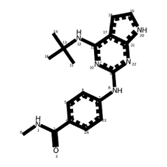 CNC(=O)c1ccc(Nc2nc(NC(C)(C)C)c3cc[nH]c3n2)cc1